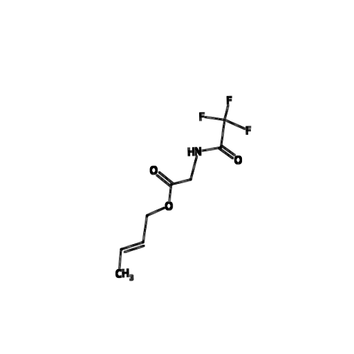 C/C=C/COC(=O)CNC(=O)C(F)(F)F